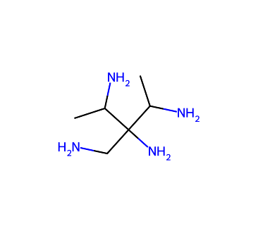 CC(N)C(N)(CN)C(C)N